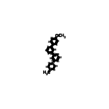 COc1ccc(-c2cccc(-c3cc(N4CCN(C)CC4)ccn3)c2)cc1